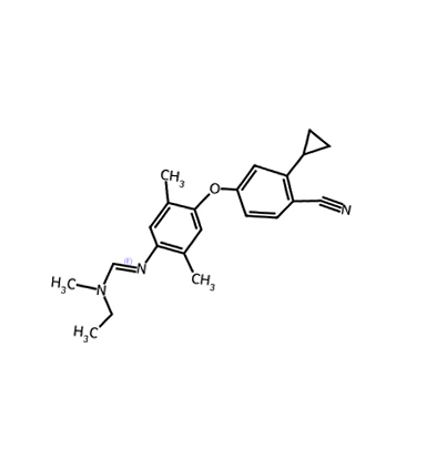 CCN(C)/C=N/c1cc(C)c(Oc2ccc(C#N)c(C3CC3)c2)cc1C